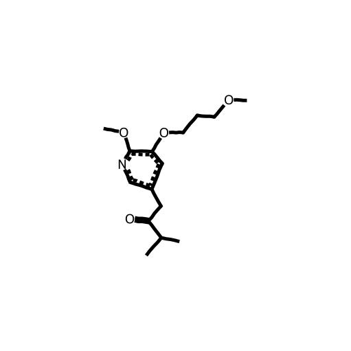 COCCCOc1cc(CC(=O)C(C)C)cnc1OC